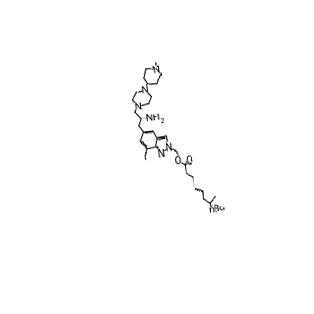 CCCCC(C)CCCCCC(=O)OCn1cc2cc(C[C@@H](N)CN3CCN(C4CCN(C)CC4)CC3)cc(C)c2n1